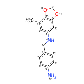 Cc1cc(NCc2ccc(N)cc2)cc2c1OCO2